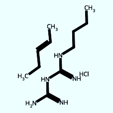 C/C=C/CC.CCCCNC(=N)NC(=N)N.Cl